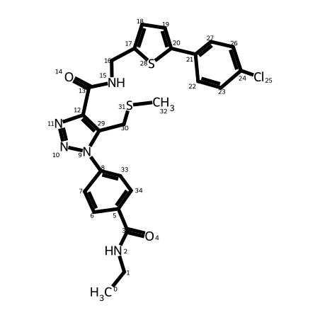 CCNC(=O)c1ccc(-n2nnc(C(=O)NCc3ccc(-c4ccc(Cl)cc4)s3)c2CSC)cc1